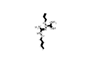 C=CCON(N=C(N)NOC/C=C/C)C(=N)N